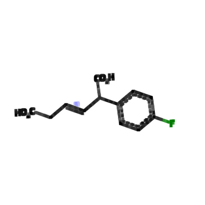 O=C(O)C/C=C/C(C(=O)O)c1ccc(F)cc1